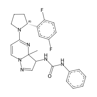 CC12N=C(N3CCC[C@@H]3c3cc(F)ccc3F)C=CN1N=CC2NC(=O)Nc1ccccc1